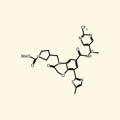 COC(=O)N1CCC(CN2C(=O)COc3c(-c4ncc(C)s4)cc(C(=O)N[C@H](C)c4cnc(C(F)(F)F)nc4)cc32)C1